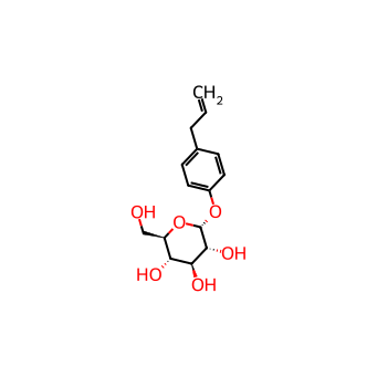 C=CCc1ccc(O[C@H]2O[C@H](CO)[C@@H](O)[C@H](O)[C@H]2O)cc1